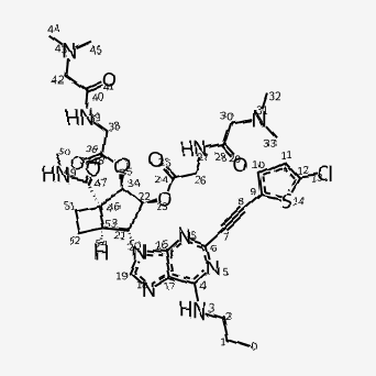 CCCNc1nc(C#Cc2ccc(Cl)s2)nc2c1ncn2[C@H]1[C@H](OC(=O)CNC(=O)CN(C)C)[C@H](OC(=O)CNC(=O)CN(C)C)[C@]2(C(=O)NC)CC[C@H]12